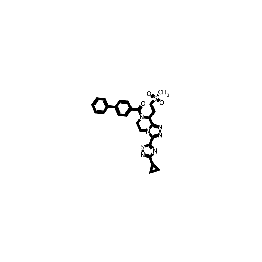 CS(=O)(=O)CCC1c2nnc(-c3nc(C4CC4)ns3)n2CCN1C(=O)c1ccc(-c2ccccc2)cc1